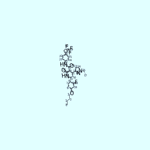 CCCCOc1ccc(-c2cc(-c3ccn(CC)n3)c(C(=O)Nc3ccc(OC(F)(F)F)cc3)c(=O)[nH]2)c(F)c1